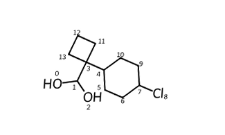 OC(O)C1(C2CCC(Cl)CC2)CCC1